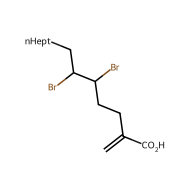 C=C(CCC(Br)C(Br)CCCCCCCC)C(=O)O